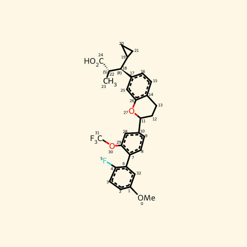 COc1ccc(F)c(-c2ccc(C3CCc4ccc([C@H](C5CC5)[C@H](C)C(=O)O)cc4O3)cc2OC(F)(F)F)c1